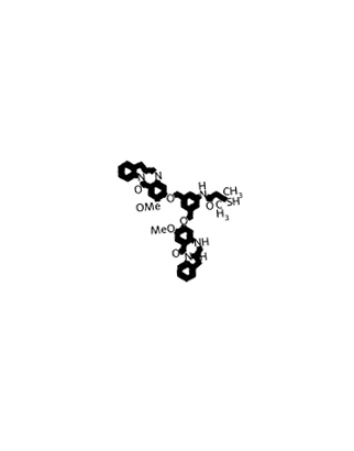 COc1cc2c(cc1OCc1cc(COc3cc4c(cc3OC)C(=O)N3c5ccccc5C[C@H]3CN4)cc(NC(=O)CC(C)(C)S)c1)N=CC1Cc3ccccc3N1C2=O